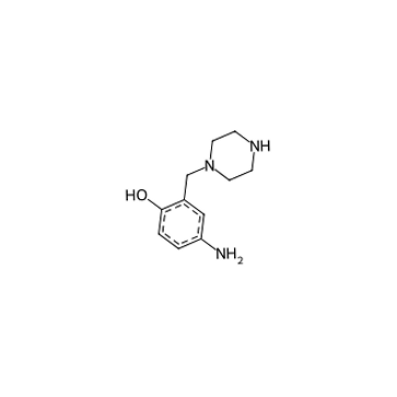 Nc1ccc(O)c(CN2CCNCC2)c1